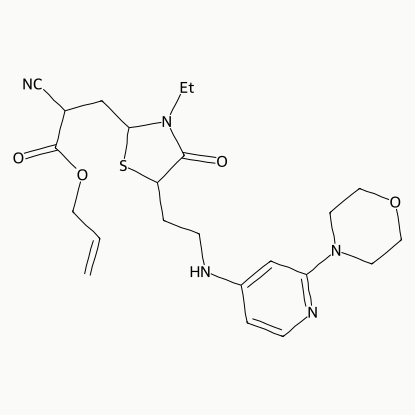 C=CCOC(=O)C(C#N)CC1SC(CCNc2ccnc(N3CCOCC3)c2)C(=O)N1CC